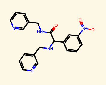 O=C(NCc1cccnc1)C(NCc1cccnc1)c1cccc([N+](=O)[O-])c1